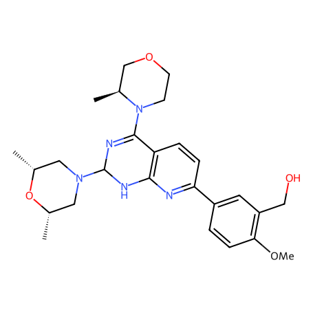 COc1ccc(-c2ccc3c(n2)NC(N2C[C@@H](C)O[C@@H](C)C2)N=C3N2CCOC[C@@H]2C)cc1CO